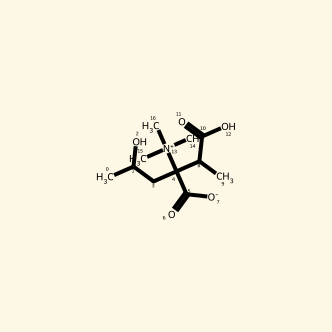 CC(O)CC(C(=O)[O-])(C(C)C(=O)O)[N+](C)(C)C